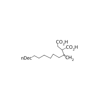 C=C(CCCCCCCCCCCCCCCC)C(CC(=O)O)C(=O)O